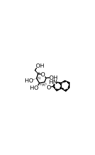 OC[C@H]1OC(O)[C@H](Oc2cc3ccccc3[nH]2)[C@@H](O)[C@@H]1O